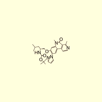 Cc1nccc2c1c(=O)n(C)c1cc(OC[C@H](CC(C)C)NC(=O)OC(C)(C)C)c(-n3cccn3)cc21